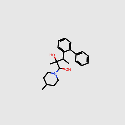 CC1CCN(C(O)C(C)(O)C(C)c2ccccc2-c2ccccc2)CC1